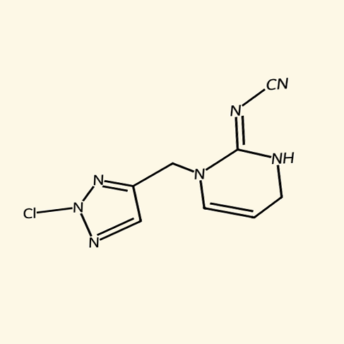 N#CN=C1NCC=CN1Cc1cnn(Cl)n1